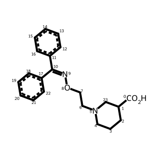 O=C(O)C1CCCN(CCON=C(c2ccccc2)c2ccccc2)C1